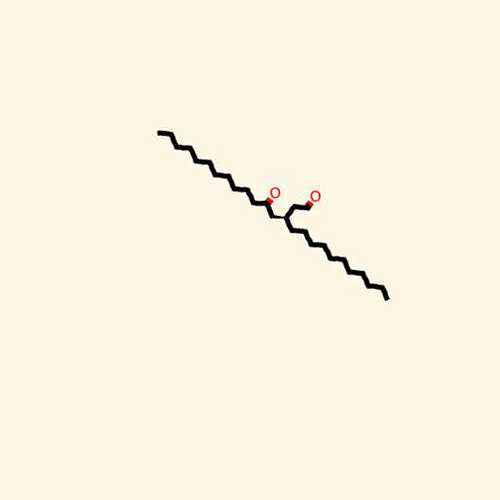 CCCCCCCCCCCC(=O)C[C@@H](CC=O)CCCCCCCCCCC